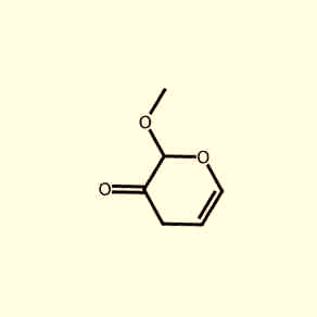 COC1OC=CCC1=O